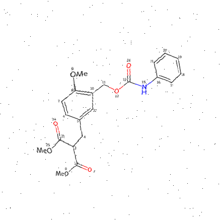 COC(=O)C(Cc1ccc(OC)c(COC(=O)Nc2ccccc2)c1)C(=O)OC